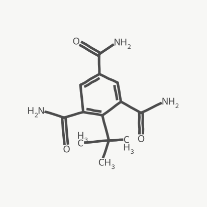 CC(C)(C)c1c(C(N)=O)cc(C(N)=O)cc1C(N)=O